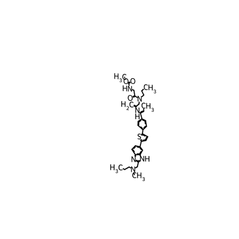 C=C(CN(CCC)C(=O)CNC(=O)OC)N/C(=C\C)c1ccc(-c2ccc(-c3ccc4nc(CN(C)CCC)[nH]c4c3)s2)cc1